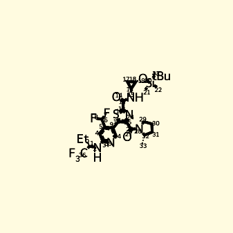 CC[C@H](Nc1cc(C(F)F)c(-c2sc(C(=O)N[C@H]3C[C@@H]3O[Si](C)(C)C(C)(C)C)nc2C(=O)N2CCC[C@@H]2C)cn1)C(F)(F)F